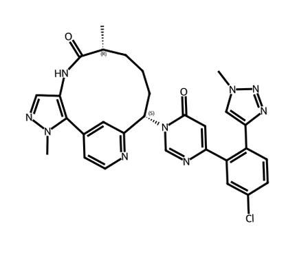 C[C@@H]1CCC[C@H](n2cnc(-c3cc(Cl)ccc3-c3cn(C)nn3)cc2=O)c2cc(ccn2)-c2c(cnn2C)NC1=O